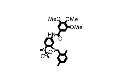 COc1cc(C(=O)Nc2ccc(N(C)S(C)(=O)=O)c(OCc3cc(C)ccc3C)c2)cc(OC)c1OC